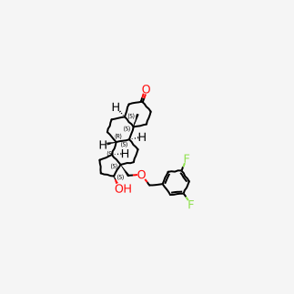 C[C@]12CCC(=O)C[C@@H]1CC[C@@H]1[C@@H]2CC[C@]2(COCc3cc(F)cc(F)c3)[C@@H](O)CC[C@@H]12